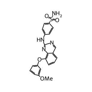 COc1cccc(Oc2cccc3cnc(Nc4ccc(S(N)(=O)=O)cc4)nc23)c1